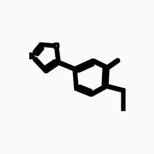 CCc1ccc(-c2cnco2)cc1C